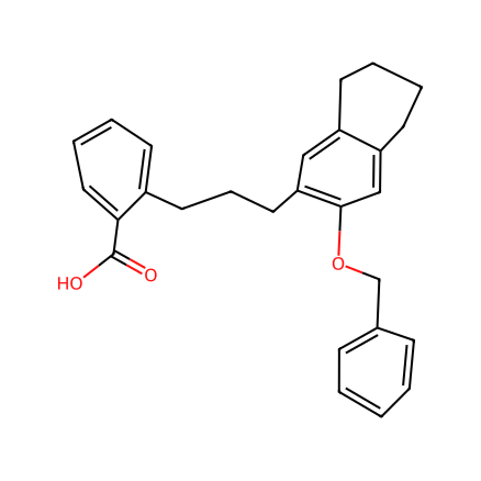 O=C(O)c1ccccc1CCCc1cc2c(cc1OCc1ccccc1)CCCC2